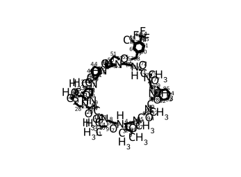 CC[C@H](C)[C@@H]1NC(=O)[C@H](CC(C)C)N(C)C(=O)C[C@@H](C(=O)N2CCS(=O)(=O)CC2)NC(=O)[C@H]([C@@H](C)CC)N(C)C(=O)C2(CCCC2)NC(=O)[C@@H]2CCCN2C(=O)[C@H](CCc2ccc(C(F)(F)F)c(Cl)c2)NC(=O)CN(C)C(=O)[C@H](CC2CCCCC2)N(C)C(=O)CN(C)C(=O)CN(C)C1=O